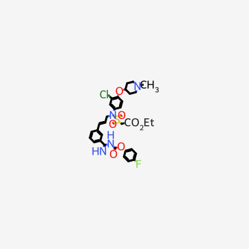 CCOC(=O)CS(=O)(=O)N(C/C=C/c1cccc(C(=N)NC(=O)Oc2ccc(F)cc2)c1)c1ccc(OC2CCN(C)CC2)c(Cl)c1